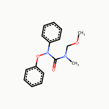 COCN(C)C(=O)N(Oc1ccccc1)c1ccccc1